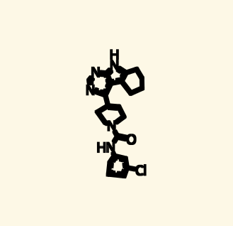 O=C(Nc1cccc(Cl)c1)N1CC=C(c2ncnc3[nH]c4c(c23)CCCC4)CC1